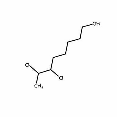 CC(Cl)C(Cl)CCCCCO